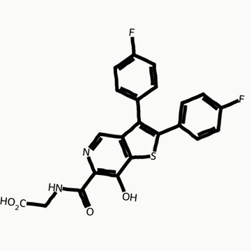 O=C(O)CNC(=O)c1ncc2c(-c3ccc(F)cc3)c(-c3ccc(F)cc3)sc2c1O